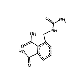 NC(=O)NCc1cccc(C(=O)O)c1C(=O)O